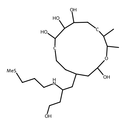 CSCCCNC(CCO)CC1CCCC(O)C(O)C(O)CCC(C)C(C)OC(O)C1